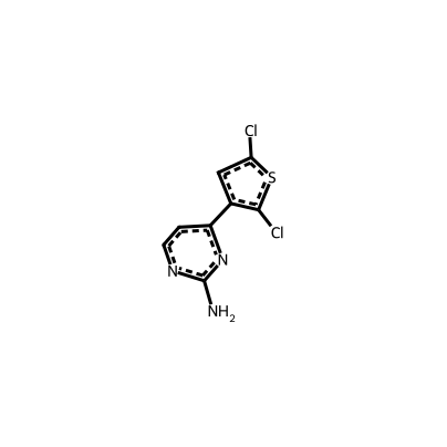 Nc1nccc(-c2cc(Cl)sc2Cl)n1